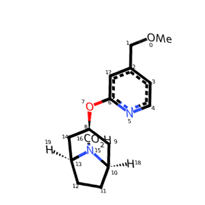 COCc1ccnc(O[C@H]2C[C@H]3CC[C@@H](C2)N3C(=O)O)c1